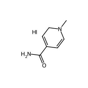 CN1C=CC(C(N)=O)=CC1.I